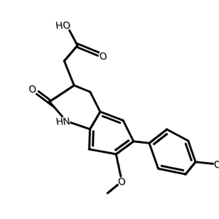 COc1cc2c(cc1-c1ccc(Cl)cc1)CC(CC(=O)O)C(=O)N2